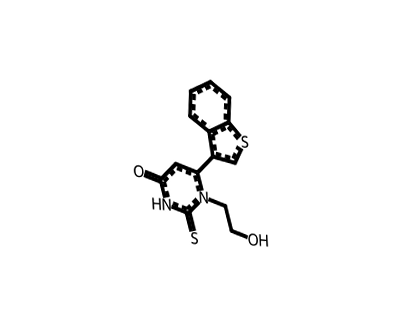 O=c1cc(-c2csc3ccccc23)n(CCO)c(=S)[nH]1